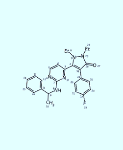 CCn1c(-c2ccnc(NC(C)c3ccccc3)n2)c(-c2ccc(F)cc2)c(=O)n1CC